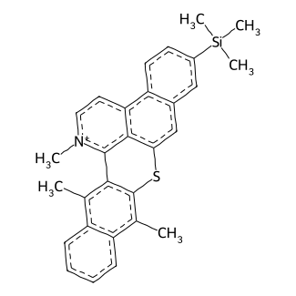 Cc1c2c(c(C)c3ccccc13)-c1c3c(cc4cc([Si](C)(C)C)ccc4c3cc[n+]1C)S2